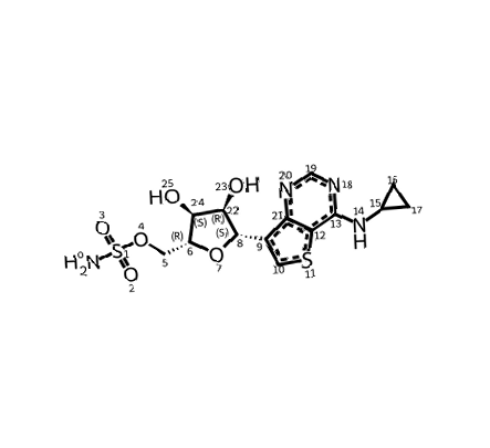 NS(=O)(=O)OC[C@H]1O[C@@H](c2csc3c(NC4CC4)ncnc23)[C@H](O)[C@@H]1O